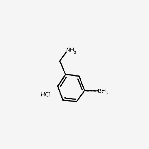 Bc1cccc(CN)c1.Cl